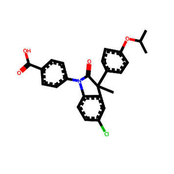 CC(C)Oc1ccc(C2(C)C(=O)N(c3ccc(C(=O)O)cc3)c3ccc(Cl)cc32)cc1